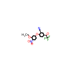 CCOc1cc(Oc2ccc(C(=O)C(F)(F)F)cc2C#N)ccc1[N+](=O)[O-]